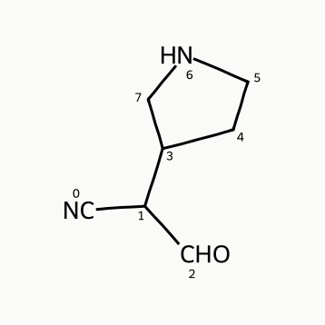 N#CC(C=O)C1CCNC1